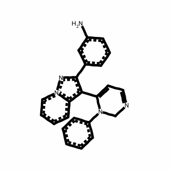 Nc1cccc(-c2nn3ccccc3c2C2=CC=NCN2c2ccccc2)c1